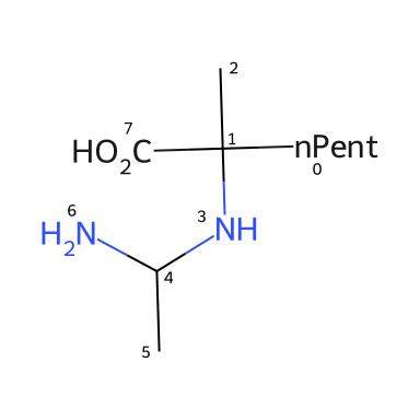 CCCCCC(C)(NC(C)N)C(=O)O